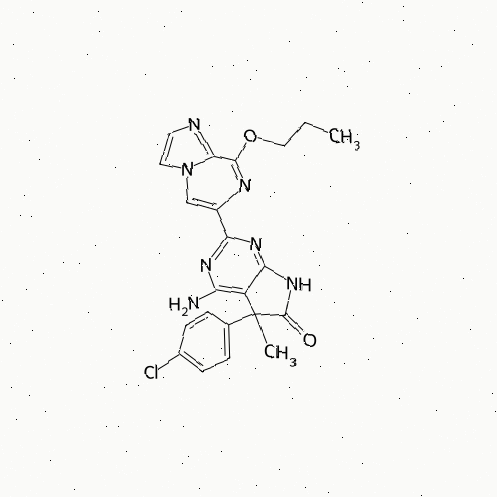 CCCOc1nc(-c2nc(N)c3c(n2)NC(=O)C3(C)c2ccc(Cl)cc2)cn2ccnc12